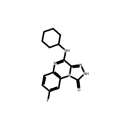 O=c1[nH]nc2c(NC3CCCCC3)nc3ccc(F)cc3n12